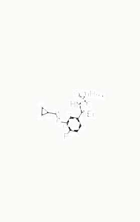 CCCCCCS(=O)(=O)N[C@H](CC)c1ccc(F)c(OCC2CC2)c1